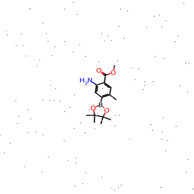 COC(=O)c1cc(C)c(B2OC(C)(C)C(C)(C)O2)cc1N